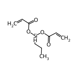 C=CC(=O)O[SiH](CCC)OC(=O)C=C